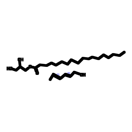 C/C=C/C=C/CO.CCCCCCCCCCCCCCCCCC(=O)OCC(O)CO